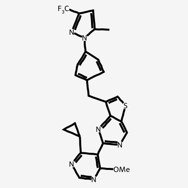 COc1ncnc(C2CC2)c1-c1ncc2scc(Cc3ccc(-n4nc(C(F)(F)F)cc4C)cc3)c2n1